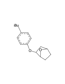 CCC(C)c1ccc(OC2CC3CCC2O3)cc1